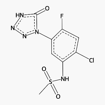 CS(=O)(=O)Nc1cc(-n2nn[nH]c2=O)c(F)cc1Cl